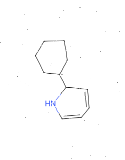 C1=CNC([C]2CCCCC2)C=C1